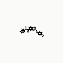 COc1ccc(OC[C@H]2COc3ccc(C(=O)N[C@@H]4C[C@@H]5CCN(C5)C4)cc3O2)cc1